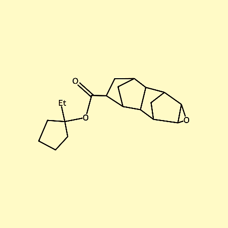 CCC1(OC(=O)C2CC3CC2C2C4CC(C5OC45)C32)CCCC1